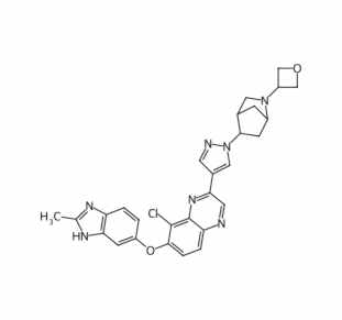 Cc1nc2ccc(Oc3ccc4ncc(-c5cnn(C6CC7CC6CN7C6COC6)c5)nc4c3Cl)cc2[nH]1